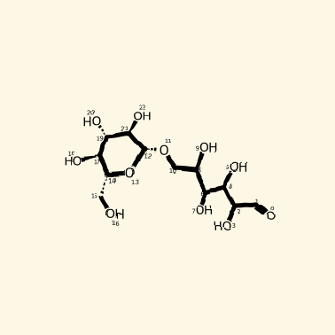 O=CC(O)C(O)C(O)C(O)CO[C@@H]1O[C@H](CO)[C@@H](O)[C@H](O)[C@H]1O